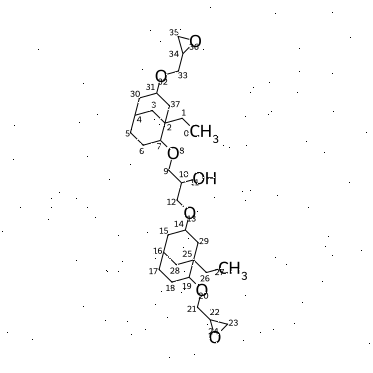 CCC12CC(CCC1OCC(O)COC1CC3CCC(OCC4CO4)C(CC)(C3)C1)CC(OCC1CO1)C2